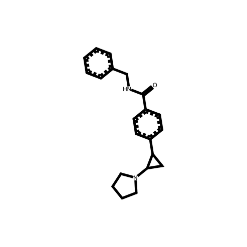 O=C(NCc1ccccc1)c1ccc(C2CC2N2CCCC2)cc1